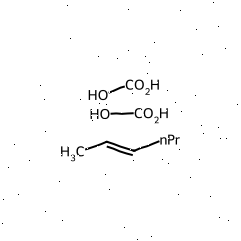 CC=CCCC.O=C(O)O.O=C(O)O